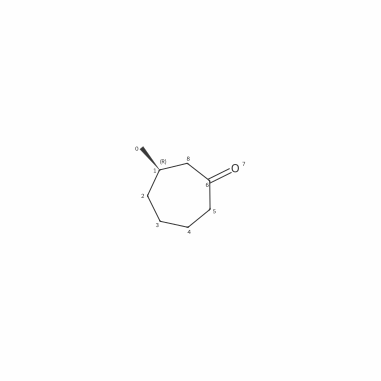 C[C@@H]1CCCCC(=O)C1